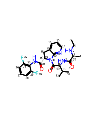 CCN[C@@H](C)C(=O)N[C@H](C(=O)N1c2ncccc2C[C@H]1C(=O)Nc1c(F)cccc1F)C(C)C